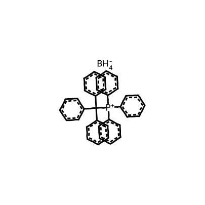 [BH4-].c1ccc(C(c2ccccc2)(c2ccccc2)[P+](c2ccccc2)(c2ccccc2)c2ccccc2)cc1